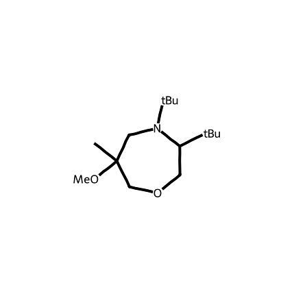 COC1(C)COCC(C(C)(C)C)N(C(C)(C)C)C1